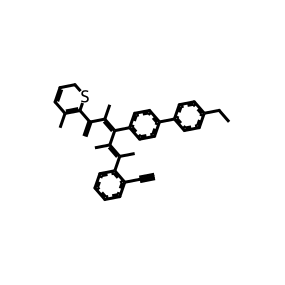 C#Cc1ccccc1/C(C)=C(C)/C(=C(/C)C(=C)C1=C(C)C=CCS1)c1ccc(-c2ccc(CC)cc2)cc1